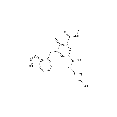 CNC(=O)c1cc(C(=O)NC2CC(O)C2)cn(Cc2cccc3[nH]ccc23)c1=O